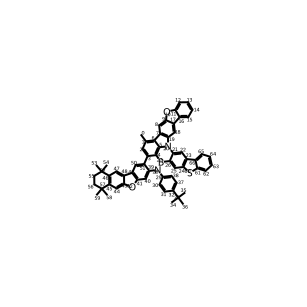 Cc1cc2c3c4c1c1cc5oc6ccccc6c5cc1n4-c1cc4c(cc1B3N(c1ccc(C(C)(C)C)cc1)c1cc3oc5cc6c(cc5c3cc1-2)C(C)(C)CCC6(C)C)sc1ccccc14